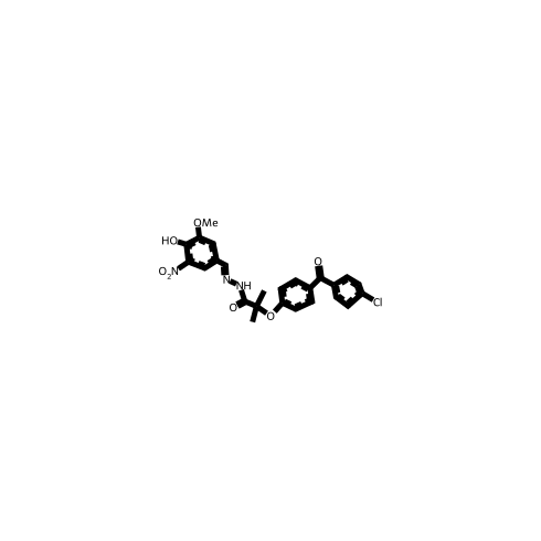 COc1cc(/C=N/NC(=O)C(C)(C)Oc2ccc(C(=O)c3ccc(Cl)cc3)cc2)cc([N+](=O)[O-])c1O